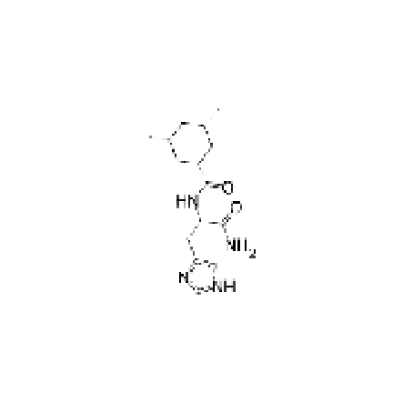 C[C@@H]1C[C@H](C)C[C@H](C(=O)N[C@@H](Cc2c[nH]cn2)C(N)=O)C1